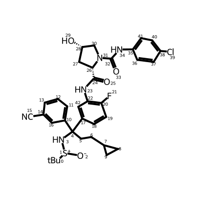 CC(C)(C)[S+]([O-])NC(CCC1CC1)(c1cccc(C#N)c1)c1ccc(F)c(NC(=O)[C@@H]2C[C@H](O)CN2C(=O)Nc2ccc(Cl)cc2)c1